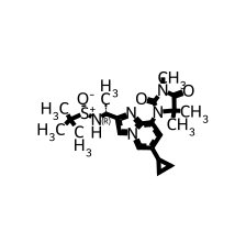 C[C@@H](N[S+]([O-])C(C)(C)C)c1cn2cc(C3CC3)cc(N3C(=O)N(C)C(=O)C3(C)C)c2n1